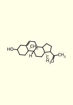 CC(=O)C1CCC2C3CC=C4CC(O)CC[C@]4(C)[C@H]3CC[C@]12C